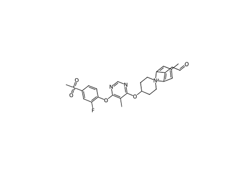 Cc1cc2c(CC=O)c(c1)[N+]21CCC(Oc2ncnc(Oc3ccc(S(C)(=O)=O)cc3F)c2C)CC1